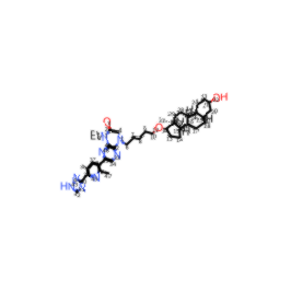 CCN1C(=O)CN(CCCCCO[C@H]2CC[C@H]3[C@@H]4CC[C@H]5CC(O)CC[C@]5(C)[C@H]4CC[C@]23C)c2ncc(-c3ccc(-c4nc[nH]n4)nc3C)nc21